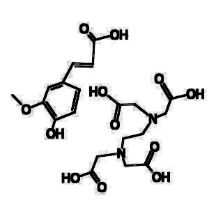 COc1cc(/C=C/C(=O)O)ccc1O.O=C(O)CN(CCN(CC(=O)O)CC(=O)O)CC(=O)O